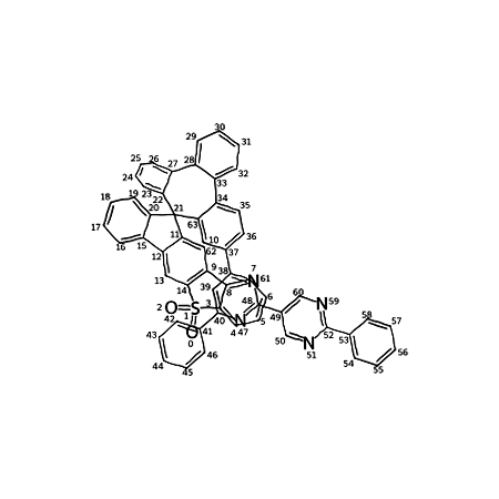 O=S1(=O)c2ccccc2-c2cc3c(cc21)-c1ccccc1C31c2ccccc2-c2ccccc2-c2ccc(-c3cc(-c4ccccc4)nc(-c4cnc(-c5ccccc5)nc4)n3)cc21